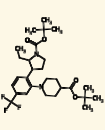 CCC1C(c2ccc(C(F)(F)F)cc2N2CCC(C(=O)OC(C)(C)C)CC2)CCN1C(=O)OC(C)(C)C